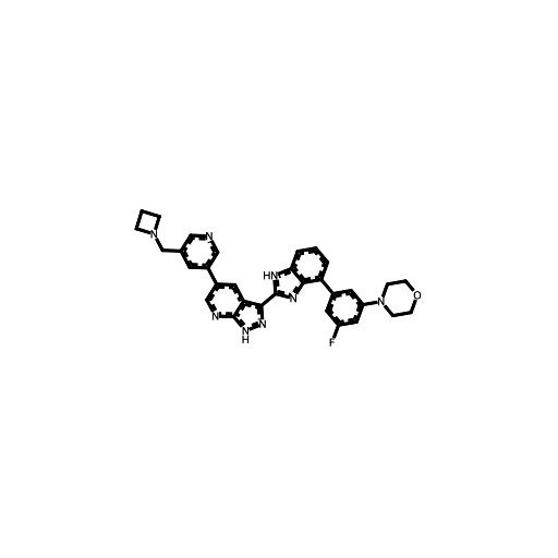 Fc1cc(-c2cccc3[nH]c(-c4n[nH]c5ncc(-c6cncc(CN7CCC7)c6)cc45)nc23)cc(N2CCOCC2)c1